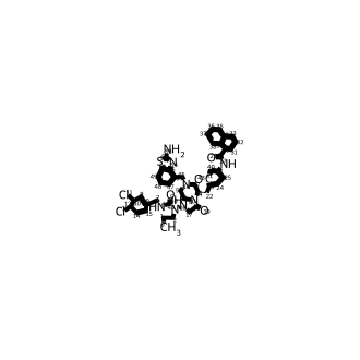 CCCN(C(=O)NCC1=CC(Cl)C(Cl)C=C1)N1CC(=O)N2[C@@H](Cc3ccc(NC(=O)c4cccc5ccccc45)cc3)C(=O)N(Cc3cccc4sc(N)nc34)C[C@@H]21